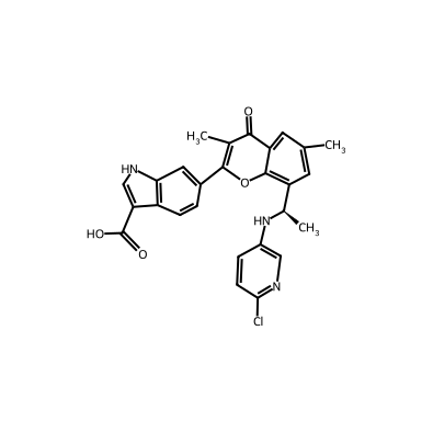 Cc1cc([C@@H](C)Nc2ccc(Cl)nc2)c2oc(-c3ccc4c(C(=O)O)c[nH]c4c3)c(C)c(=O)c2c1